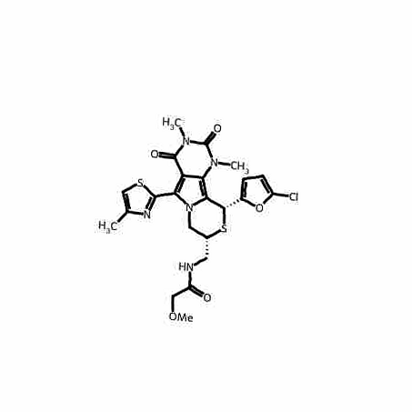 COCC(=O)NC[C@@H]1Cn2c(-c3nc(C)cs3)c3c(=O)n(C)c(=O)n(C)c3c2[C@H](c2ccc(Cl)o2)S1